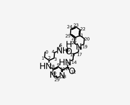 CCC(CCNC)Nc1cc(C(=O)NC[C@H](O)CN2CCc3ccccc3C2)ncn1